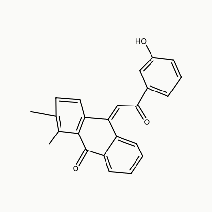 Cc1ccc2c(c1C)C(=O)c1ccccc1/C2=C\C(=O)c1cccc(O)c1